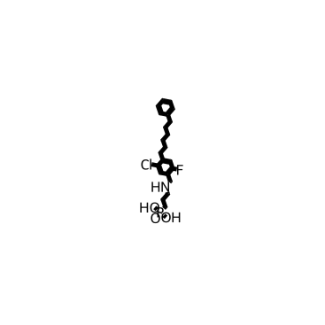 O=P(O)(O)CCCNCc1cc(Cl)c(CCCCCCc2ccccc2)cc1F